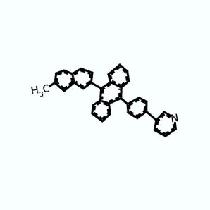 Cc1ccc2ccc(-c3c4ccccc4c(-c4ccc(-c5cccnc5)cc4)c4ccccc34)cc2c1